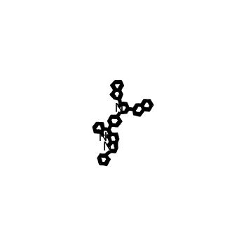 c1ccc(-c2ccc3ccc4c(-c5ccc(-c6cc(-c7ccc8ccccc8c7)cc(-c7ccc8ccccc8c7)n6)cc5)c5ccccc5nc4c3n2)cc1